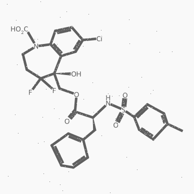 Cc1ccc(S(=O)(=O)N[C@@H](Cc2ccccc2)C(=O)OC[C@@]2(O)c3cc(Cl)ccc3N(C(=O)O)CCC2(F)F)cc1